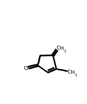 C=C1CC(=O)C=C1C